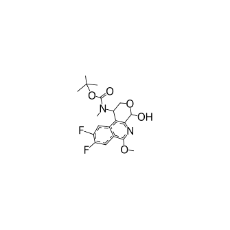 COc1nc2c(c3cc(F)c(F)cc13)C(N(C)C(=O)OC(C)(C)C)COC2O